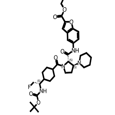 CCOC(=O)c1cc2cc(NC(=O)[C@@H]3[C@@H](N4CCCCC4)CCN3C(=O)C3CCC([C@@H](CF)NC(=O)OC(C)(C)C)CC3)ccc2o1